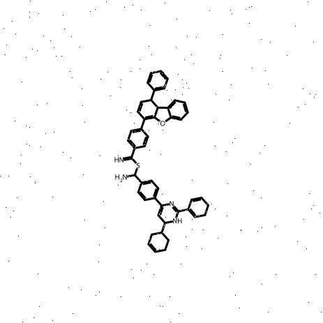 N=C(SC(N)c1ccc(C2=CC(C3CC=CCC3)NC(C3=CCCC=C3)=N2)cc1)c1ccc(C2=C3Oc4ccccc4C3C(c3ccccc3)C=C2)cc1